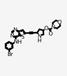 O=C(OC1CNC(C#Cc2cc3ncnc(Nc4cccc(Br)c4)c3s2)C1)N1CCOCC1